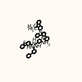 CC1(C)C2=C(CCC(N3C4=C(C5C=CC=CC53)C3C(C=C4)C4=C(CCCC4)N3C3CC=C(C4NC(C5=CC=C6SC7=C(C=CCC7)C6C5)NC(C5C=C(C6C=CCCC6)C=CC5)N4)C=C3N)C2)C2C=CC=CC21